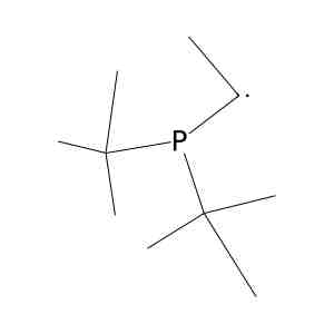 C[CH]P(C(C)(C)C)C(C)(C)C